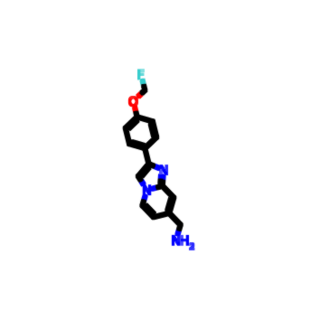 NCc1ccn2cc(-c3ccc(OCF)cc3)nc2c1